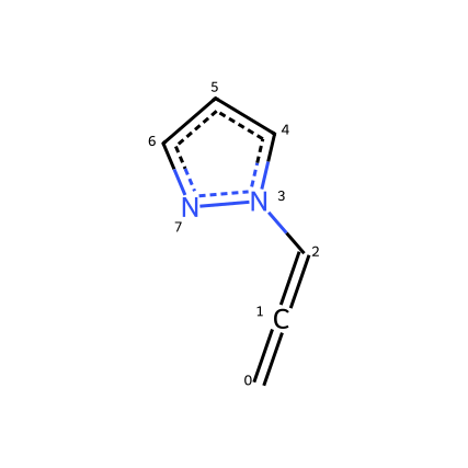 C=C=Cn1cccn1